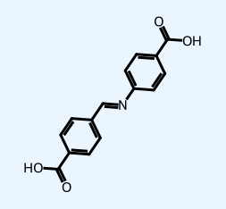 O=C(O)c1ccc(/C=N/c2ccc(C(=O)O)cc2)cc1